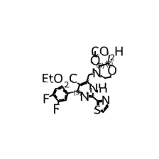 CCOC(=O)C1=C(CN2CCO[C@H](C)[C@@H]2OC(=O)O)NC(c2nccs2)=N[C@H]1c1ccc(F)c(F)c1